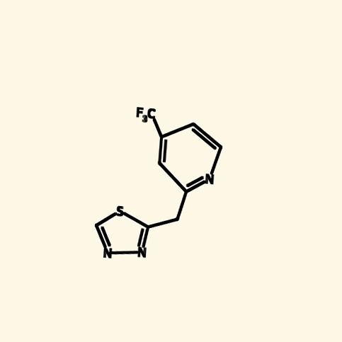 FC(F)(F)c1ccnc(Cc2nncs2)c1